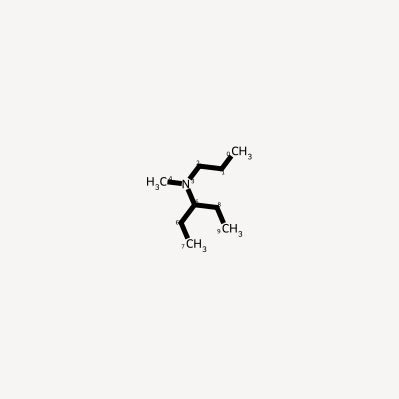 CCCN(C)C(CC)CC